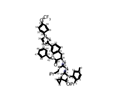 Cc1ccc(C(C)C)c(N2C(=O)C3(CC3)S/C2=N\C(=N\C(Cc2ccc(-c3ncn(-c4ccc(OC(F)(F)F)cc4)n3)cc2)C(=O)OCc2ccccc2)SCC(C)C)c1